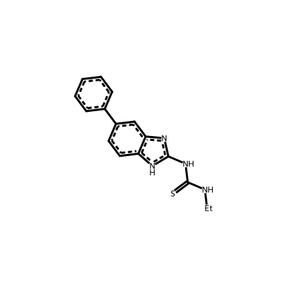 CCNC(=S)Nc1nc2cc(-c3ccccc3)ccc2[nH]1